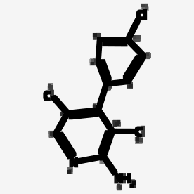 Nc1ncc(Cl)c(-c2ccc(Cl)cc2)c1Cl